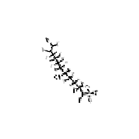 O=S(=O)([O-])C(F)C(F)(F)C(F)(F)C(F)(F)C(F)(F)C(F)(F)C(F)(F)C(F)(F)C(F)(F)C(F)C(F)F.[K+]